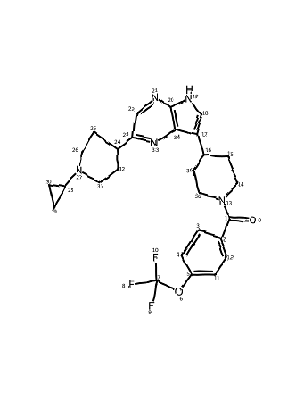 O=C(c1ccc(OC(F)(F)F)cc1)N1CCC(c2c[nH]c3ncc(C4CCN(C5CC5)CC4)nc23)CC1